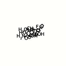 CN(C)[C@@H]1C(O)=C(C(N)=O)C(=O)[C@@]2(O)C(O)=C3C(=O)c4c(O)cc(N5CCCC5)c(F)c4C[C@H]3C[C@@H]12